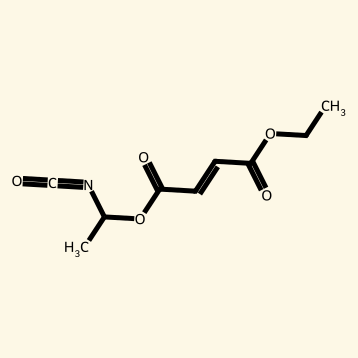 CCOC(=O)C=CC(=O)OC(C)N=C=O